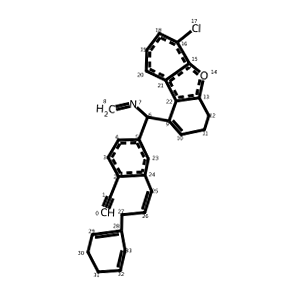 C#Cc1ccc(C(N=C)C2=CCCc3oc4c(Cl)cccc4c32)cc1/C=C\CC1=CCCC=C1